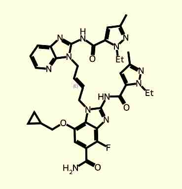 CCn1nc(C)cc1C(=O)Nc1nc2cccnc2n1C/C=C/Cn1c(NC(=O)c2cc(C)nn2CC)nc2c(F)c(C(N)=O)cc(OCC3CC3)c21